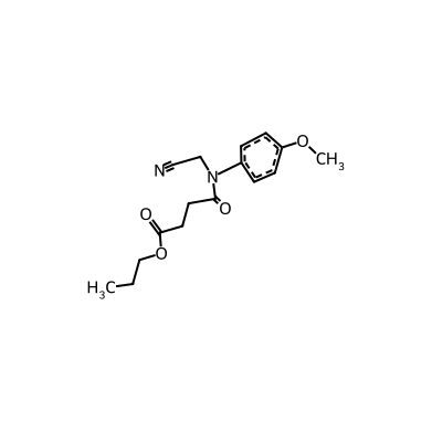 CCCOC(=O)CCC(=O)N(CC#N)c1ccc(OC)cc1